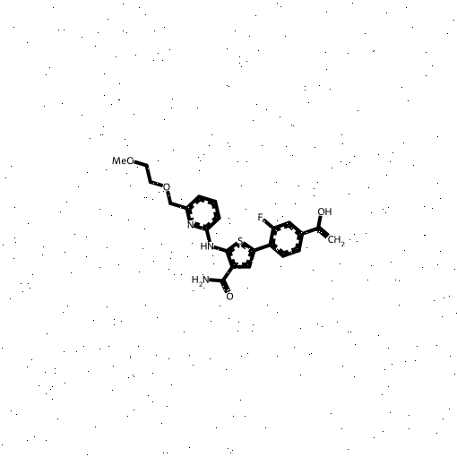 C=C(O)c1ccc(-c2cc(C(N)=O)c(Nc3cccc(COCCOC)n3)s2)c(F)c1